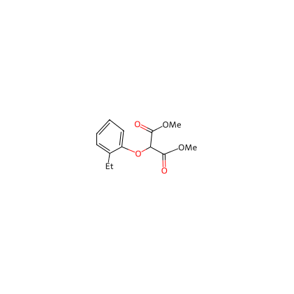 CCc1ccccc1OC(C(=O)OC)C(=O)OC